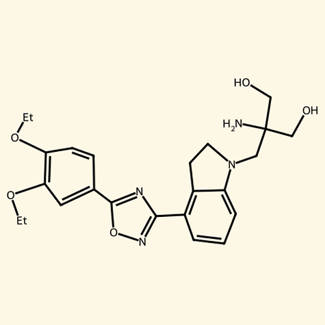 CCOc1ccc(-c2nc(-c3cccc4c3CCN4CC(N)(CO)CO)no2)cc1OCC